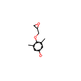 Cc1cc([O])cc(C)c1OCC1CO1